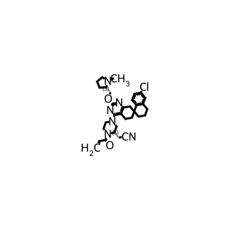 C=CC(=O)N1CCN(c2nc(OC[C@@H]3CCCN3C)nc3c2CCC2(CCCc4cc(Cl)ccc42)C3)C[C@@H]1CC#N